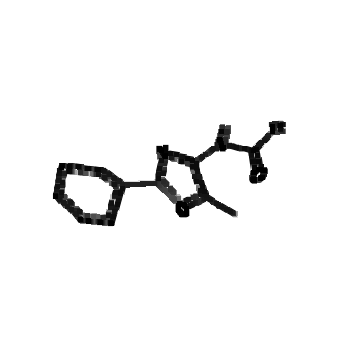 CCC(=O)Nc1nc(-c2ccccc2)oc1C